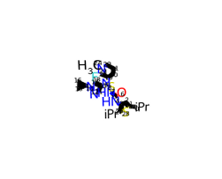 CC(C)c1cc(NC(=O)NSN(c2cnn(C3CC3)c2F)C2CCCN(C)C2)c(C(C)C)s1